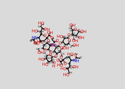 CC(=O)N[C@H]1[C@H](O[C@H]2[C@@H](O)[C@@H](CO)O[C@@H](O[C@H]3[C@H](O)[C@@H](O)[C@H](O)O[C@@H]3CO)[C@@H]2O)O[C@H](CO[C@]2(C(=O)O)C[C@H](O)[C@@H](NC(C)=O)[C@H]([C@H](O)[C@H](O)CO)O2)[C@@H](O[C@@H]2O[C@@H](C)[C@@H](O)[C@@H](O)[C@@H]2O)[C@@H]1O[C@@H]1O[C@H](CO)[C@H](O)[C@H](O[C@]2(C(=O)O)C[C@H](O)[C@@H](NC(C)=O)[C@H]([C@H](O)[C@H](O)CO)O2)[C@H]1O